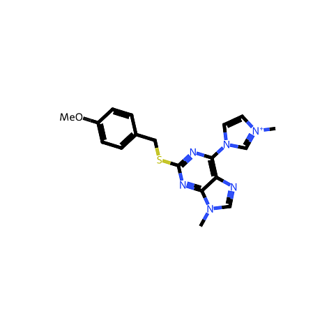 COc1ccc(CSc2nc(-n3cc[n+](C)c3)c3ncn(C)c3n2)cc1